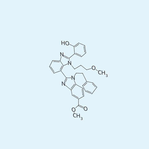 COCCCn1c(-c2ccccc2O)nc2cccc(-c3nc4cc(C(=O)OC)ccc4n3CCc3ccccc3)c21